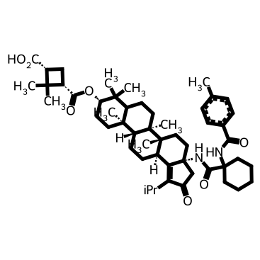 Cc1ccc(C(=O)NC2(C(=O)N[C@@]34CC[C@]5(C)[C@H](CC[C@@H]6[C@@]7(C)CC[C@H](OC(=O)[C@H]8C[C@@H](C(=O)O)C8(C)C)C(C)(C)C7CC[C@]65C)C3=C(C(C)C)C(=O)C4)CCCCC2)cc1